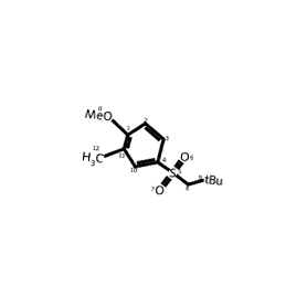 COc1ccc(S(=O)(=O)CC(C)(C)C)cc1C